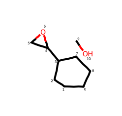 C1CCC(C2CO2)CC1.CO